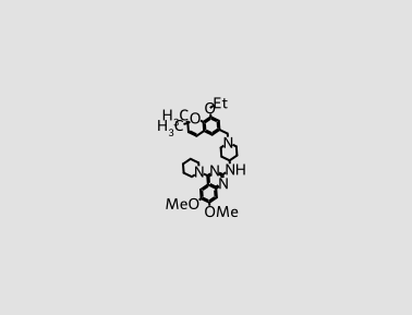 CCOc1cc(CN2CCC(Nc3nc(N4CCCCC4)c4cc(OC)c(OC)cc4n3)CC2)cc2c1OC(C)(C)C=C2